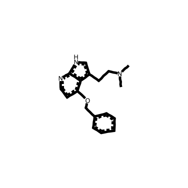 CN(C)CCc1c[nH]c2nccc(OCc3ccccc3)c12